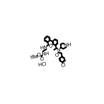 CC(c1cccc(-c2ccccc2C(=O)NCCNC(=O)OC(C)(C)C)c1)N(C(=O)Cc1ccc(Cl)cc1)C1CCNCC1.Cl